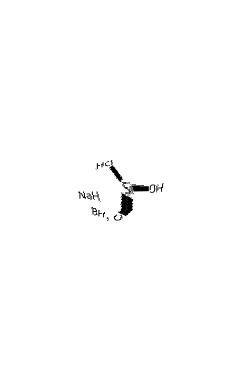 B.O=[Si](O)O.[NaH]